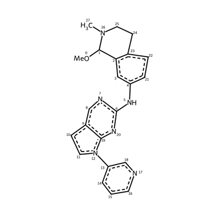 COC1c2cc(Nc3ncc4ccn(-c5cccnc5)c4n3)ccc2CCN1C